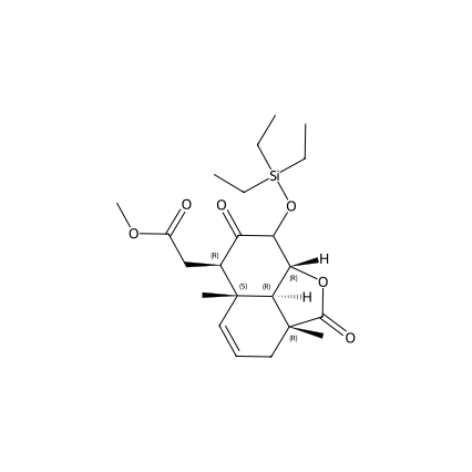 CC[Si](CC)(CC)OC1C(=O)[C@H](CC(=O)OC)[C@@]2(C)C=CC[C@@]3(C)C(=O)O[C@@H]1[C@H]23